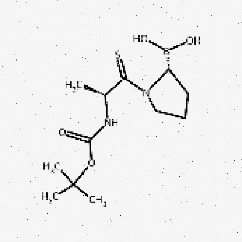 C[C@H](NC(=O)OC(C)(C)C)C(=S)N1CCC[C@H]1B(O)O